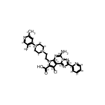 Cc1cc(N2CCN(CCn3c(C(=O)O)c(Cl)c4c3nc(N)n3nc(-c5ccccn5)nc43)CC2)c(F)cn1